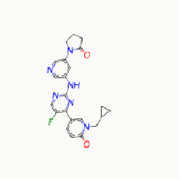 O=C1CCCN1c1cncc(Nc2ncc(F)c(-c3ccc(=O)n(CC4CC4)c3)n2)c1